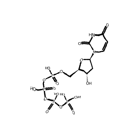 O=c1ccn([C@H]2C[C@H](O)[C@@H](COP(=O)(O)OP(=O)(O)OP(=O)(O)OP(=O)(O)O)O2)c(=O)[nH]1